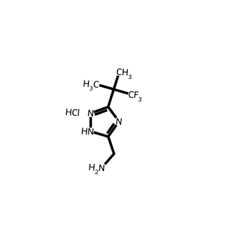 CC(C)(c1n[nH]c(CN)n1)C(F)(F)F.Cl